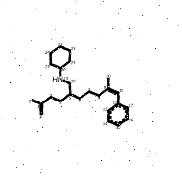 C=C(C)CCC(CCC/C(C)=C\c1ccccc1)CNC1CCCCC1